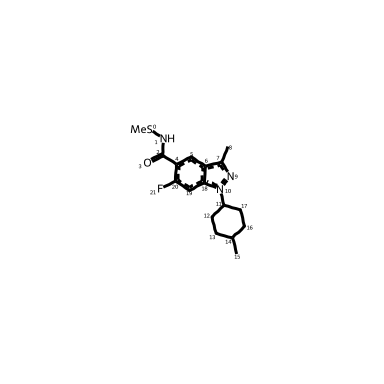 CSNC(=O)c1cc2c(C)nn(C3CCC(C)CC3)c2cc1F